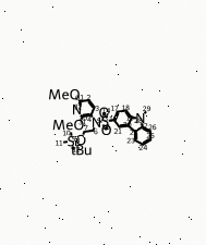 COc1ccc(N(CCO[Si](C)(C)C(C)(C)C)S(=O)(=O)c2ccc3c(c2)c2ccccc2n3C)c(OC)n1